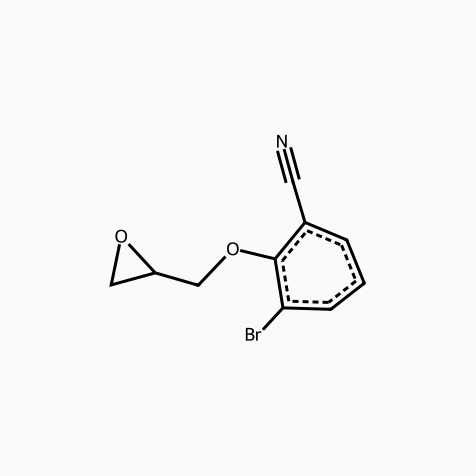 N#Cc1cccc(Br)c1OCC1CO1